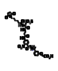 C/C(=N\NC(=O)c1ccc(NC(=O)CCNC(=O)[C@H](CS(=O)(=O)O)NC(=O)CCCCCN2C(=O)C=CC2=O)cc1[N+](=O)[O-])c1cccc(OCC(=O)O)c1